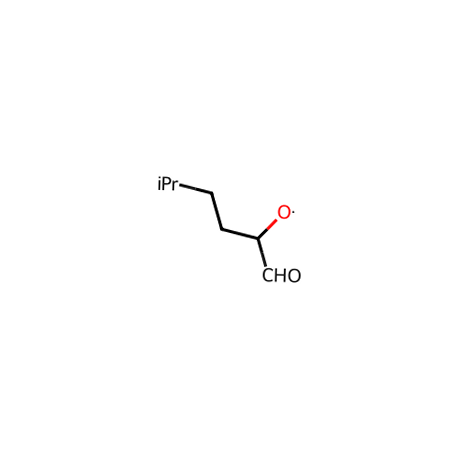 CC(C)CCC([O])C=O